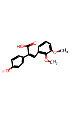 COc1cccc(C=C(C(=O)O)c2ccc(O)cc2)c1OC